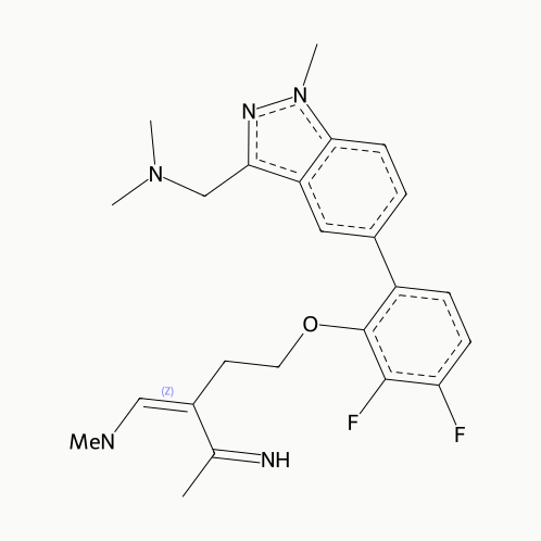 CN/C=C(/CCOc1c(-c2ccc3c(c2)c(CN(C)C)nn3C)ccc(F)c1F)C(C)=N